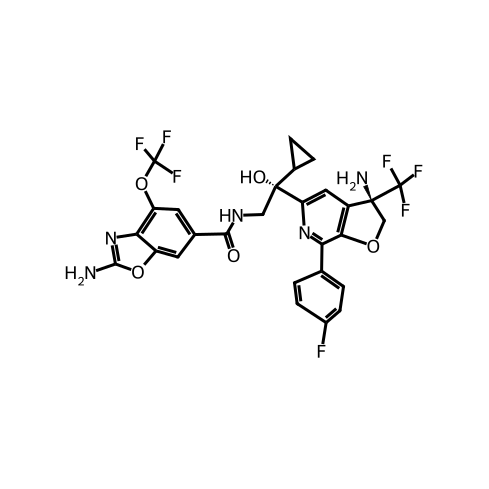 Nc1nc2c(OC(F)(F)F)cc(C(=O)NC[C@](O)(c3cc4c(c(-c5ccc(F)cc5)n3)OC[C@@]4(N)C(F)(F)F)C3CC3)cc2o1